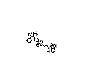 O=C(NCCCCS(=O)(=O)c1ccc(-c2c(-c3ccccc3)noc2C(F)F)cc1)c1ccccc1O